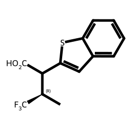 C[C@H](C(C(=O)O)c1cc2ccccc2s1)C(F)(F)F